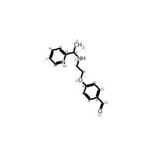 CC(NCCOc1ccc(C=O)cc1)c1ccccn1